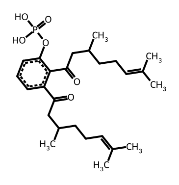 CC(C)=CCCC(C)CC(=O)c1cccc(OP(=O)(O)O)c1C(=O)CC(C)CCC=C(C)C